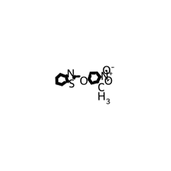 Cc1cc(OCc2nc3ccccc3s2)ccc1[N+](=O)[O-]